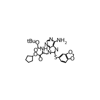 CC(C)(C)OC(=O)N[C@@H](Cn1c(Sc2ccc3c(c2)OCO3)nc2c(N)ncnc21)C(=O)OC1CCCC1